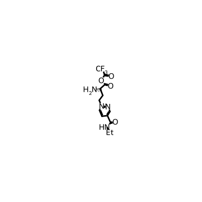 CCNC(=O)c1cc[n+](CC[C@H](N)C(=O)OC(=O)C(F)(F)F)nc1